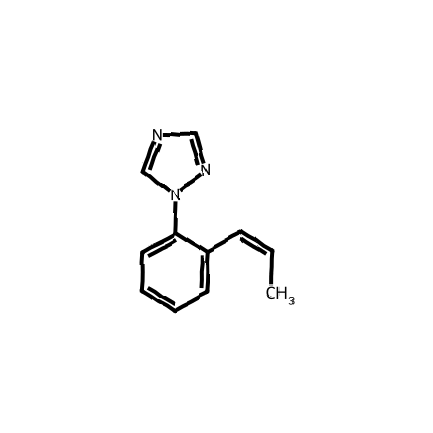 C/C=C\c1ccccc1-n1cncn1